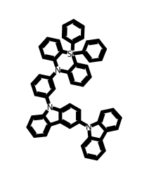 c1ccc([Si]2(c3ccccc3)c3ccccc3N(c3cccc(-n4c5ccccc5c5cc(-n6c7ccccc7c7ccccc76)ccc54)c3)c3ccccc32)cc1